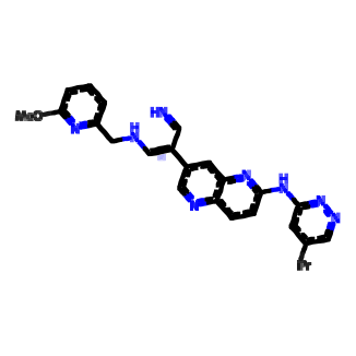 COc1cccc(CN/C=C(\C=N)c2cnc3ccc(Nc4cc(C(C)C)cnn4)nc3c2)n1